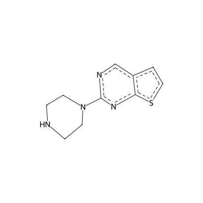 c1cc2cnc(N3CCNCC3)nc2s1